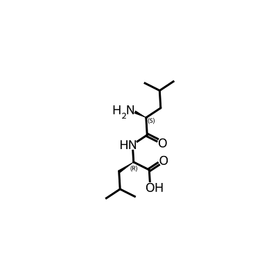 CC(C)C[C@H](N)C(=O)N[C@H](CC(C)C)C(=O)O